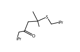 CC(C)CSC(C)(C)CC(=O)CC(C)C